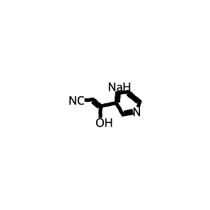 N#CC=C(O)c1cccnc1.[NaH]